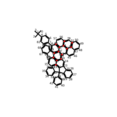 CC(C)(C)c1ccc(-c2cc(-c3ccccc3)c(N(c3ccc4c(c3)-c3ccccc3C4(c3ccccc3)c3ccccc3)c3ccc4ccccc4c3-c3ccccc3-c3cccc4oc5ccccc5c34)c(-c3ccccc3)c2)cc1